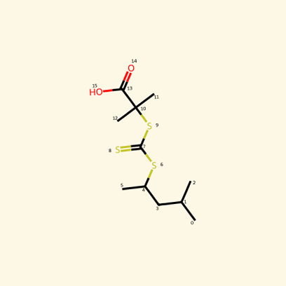 CC(C)CC(C)SC(=S)SC(C)(C)C(=O)O